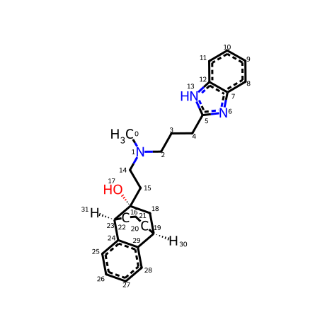 CN(CCCc1nc2ccccc2[nH]1)CC[C@@]1(O)C[C@@H]2CCC[C@H]1c1ccccc12